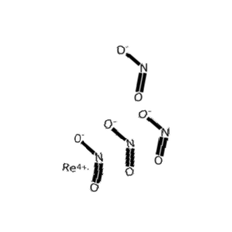 O=N[O-].O=N[O-].O=N[O-].O=N[O-].[Re+4]